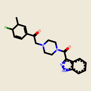 CC1C=C(C(=O)CN2CCN(C(=O)c3n[nH]c4ccccc34)CC2)C=CC1F